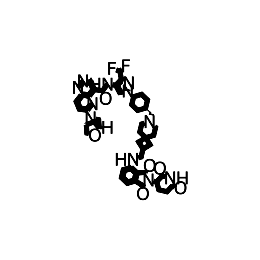 O=C1CCC(N2C(=O)c3cccc(NCC4CC5(CCN(C[C@H]6CC[C@H](n7cc(NC(=O)c8cnnc9ccc(N%10C[C@H]%11CC%10CO%11)nc89)c(C(F)F)n7)CC6)CC5)C4)c3C2=O)C(=O)N1